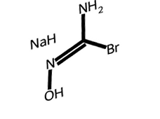 NC(Br)=NO.[NaH]